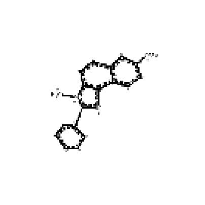 COc1ccc2c(ccc3c2nc(-c2ccccc2)n3C)c1